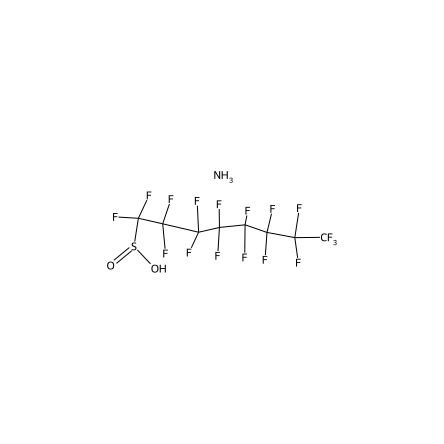 N.O=S(O)C(F)(F)C(F)(F)C(F)(F)C(F)(F)C(F)(F)C(F)(F)C(F)(F)C(F)(F)F